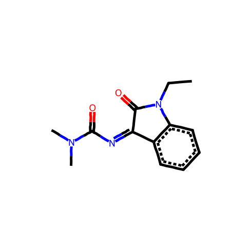 CCN1C(=O)/C(=N\C(=O)N(C)C)c2ccccc21